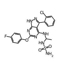 CC(Nc1nc(Oc2ccc(F)cc2)nc2[nH]nc(-c3ccccc3Cl)c12)NS(N)(=O)=O